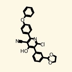 N#Cc1c(-c2ccc(Oc3ccccc3)cc2)nc(Cl)c(-c2cccc(C3OCCO3)c2)c1O